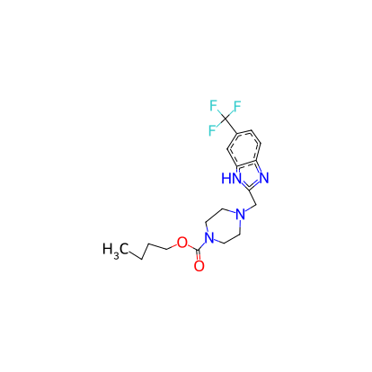 CCCCOC(=O)N1CCN(Cc2nc3ccc(C(F)(F)F)cc3[nH]2)CC1